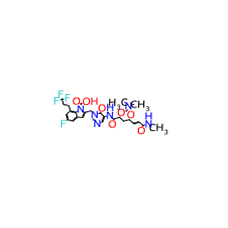 CNC(=O)C=CCCC(OC(=O)N(C)C)C(=O)Nc1cncn(Cc2cc3cc(F)cc(CCC(F)(F)F)c3n2C(=O)O)c1=O